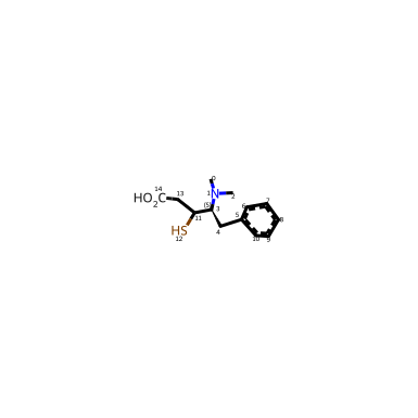 CN(C)[C@@H](Cc1ccccc1)C(S)CC(=O)O